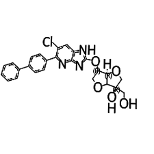 OC[C@@]1(O)CO[C@H]2C1OC[C@H]2Oc1nc2nc(-c3ccc(-c4ccccc4)cc3)c(Cl)cc2[nH]1